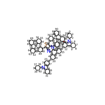 c1ccc(-n2c3ccccc3c3cc(-c4ccc5c6ccc(-c7ccc8c(c7)c7ccccc7n8-c7ccccc7)cc6c6nc7c(-c8cccc9c8-c8ccccc8C98c9ccccc9-c9ccccc98)sc(-c8cccc9c8-c8ccccc8C98c9ccccc9-c9ccccc98)c7nc6c5c4)ccc32)cc1